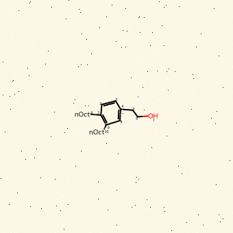 CCCCCCCCc1ccc(CCO)cc1CCCCCCCC